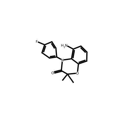 CC1(C)Oc2cccc(N)c2N(c2ccc(F)cc2)C1=O